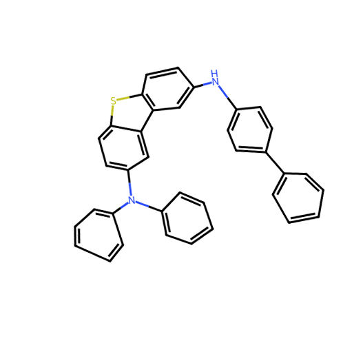 c1ccc(-c2ccc(Nc3ccc4sc5ccc(N(c6ccccc6)c6ccccc6)cc5c4c3)cc2)cc1